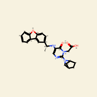 C[C@@H](Nc1cnc(N2CC3CCC2C3)n(CC(=O)O)c1=O)c1ccc2oc3ccccc3c2c1